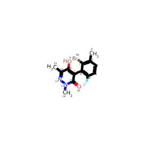 Cc1ccc(F)c(-c2c(O)c(C)nn(C)c2=O)c1Br